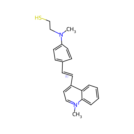 CN(CCS)c1ccc(/C=C/c2cc[n+](C)c3ccccc23)cc1